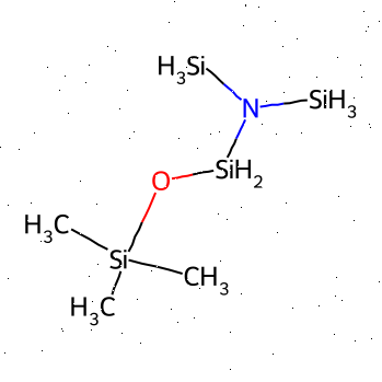 C[Si](C)(C)O[SiH2]N([SiH3])[SiH3]